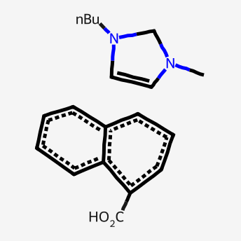 CCCCN1C=CN(C)C1.O=C(O)c1cccc2ccccc12